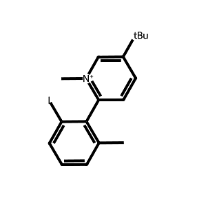 Cc1cccc(I)c1-c1ccc(C(C)(C)C)c[n+]1C